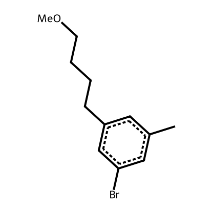 COCCCCc1cc(C)cc(Br)c1